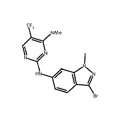 CNc1nc(Nc2ccc3c(Br)nn(C)c3c2)ncc1C(F)(F)F